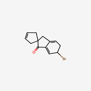 O=C1C2=CC(Br)CC=C2CC12CC=CC2